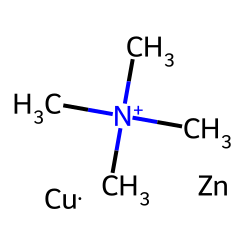 C[N+](C)(C)C.[Cu].[Zn]